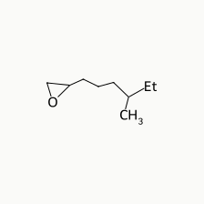 CCC(C)CCCC1CO1